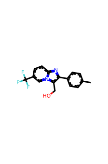 Cc1ccc(-c2nc3ccc(C(F)(F)F)cn3c2CO)cc1